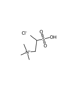 CC(C[N+](C)(C)C)S(=O)(=O)O.[Cl-]